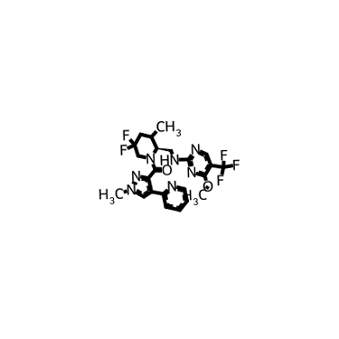 COc1nc(NC[C@@H]2C(C)CC(F)(F)CN2C(=O)c2nn(C)cc2-c2ccccn2)ncc1C(F)(F)F